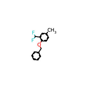 Cc1ccc(OCc2ccccc2)c(C(F)F)c1